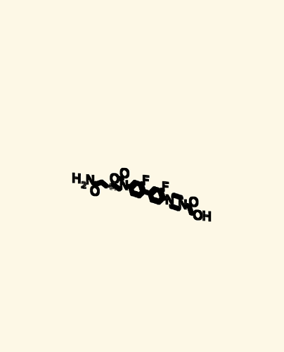 NC(=O)CC[C@H]1CN(c2ccc(-c3ccc(N4CCN(C(=O)CO)CC4)c(F)c3)c(F)c2)C(=O)O1